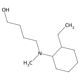 CCC1CCCCC1N(C)CCCCO